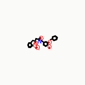 COCOc1ccccc1CC(=O)Cc1coc(-c2ccc(OC)c(OCc3ccccc3)c2)n1